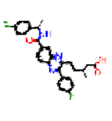 C[C@@H](CCc1nc2cc(C(=O)N[C@H](C)c3ccc(F)cc3)ccc2nc1-c1ccc(F)cc1)CC(=O)O